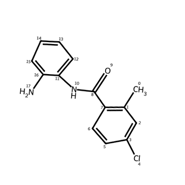 Cc1cc(Cl)ccc1C(=O)Nc1ccccc1N